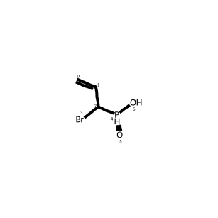 C=CC(Br)[PH](=O)O